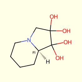 OC1(O)CN2CCCC[C@@H]2C1(O)O